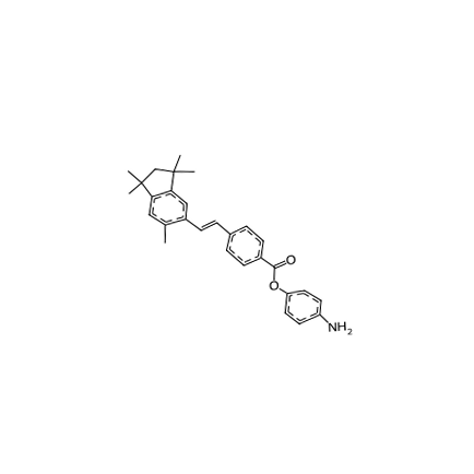 Cc1cc2c(cc1C=Cc1ccc(C(=O)Oc3ccc(N)cc3)cc1)C(C)(C)CC2(C)C